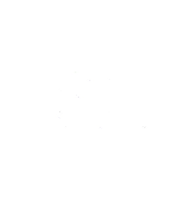 CCc1ncccc1Oc1cc(SCCOC)cnc1Nc1nc(C2CC3CCC(C2)N3C(C)=O)ns1.Cl